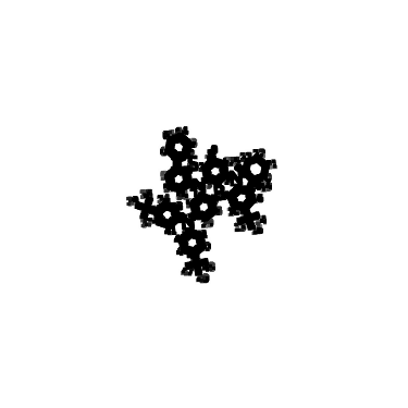 Cc1cc2c3c(c1)N1c4c(cc(C(C)(C)C)cc4C4(C)CCCCC14C)B3c1ccc(N(c3ccc(C(C)(C)C)cc3)c3ccc(C(C)(C)C)cc3)cc1N2c1cccc2c1sc1ccccc12